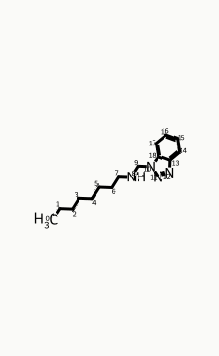 CCCCCCCCNCn1nnc2ccccc21